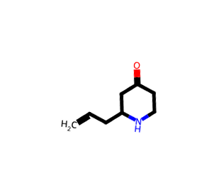 C=CCC1CC(=O)CCN1